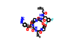 CCCC/C=C/C(=O)N[C@@H](Cc1cc(F)cc(F)c1)C(=O)N[C@H]1COC(=O)[C@@H]2CCCN2C(=O)[C@H](C)NC(=O)[C@H](COC(=O)c2ccc(N=[N+]=[N-])cc2)N(C)C(=O)[C@@H]2CCCN2C1=O